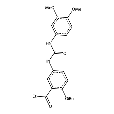 CCC(=O)c1cc(NC(=O)Nc2ccc(OC)c(OC)c2)ccc1OCC(C)C